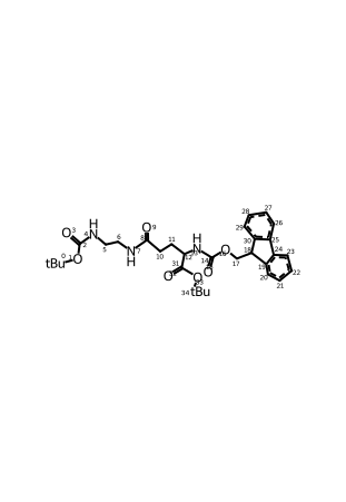 CC(C)(C)OC(=O)NCCNC(=O)CCC(NC(=O)OCC1c2ccccc2-c2ccccc21)C(=O)OC(C)(C)C